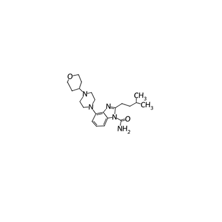 CC(C)CCc1nc2c(N3CCN(C4CCOCC4)CC3)cccc2n1C(N)=O